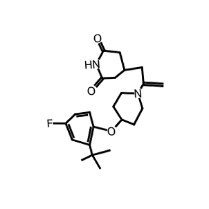 C=C(CC1CC(=O)NC(=O)C1)N1CCC(Oc2ccc(F)cc2C(C)(C)C)CC1